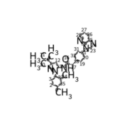 Cc1ccc(-n2nc(C(C)(C)C)cc2NC(=O)Cc2ccc(-n3cnc4cccnc43)cc2)c(C)c1